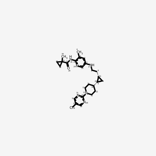 Cc1cc(NCC[C@@H]2C[C@@H]2C2CCN(c3ncc(Cl)cn3)CC2)cnc1NC(=O)C1(C)CC1